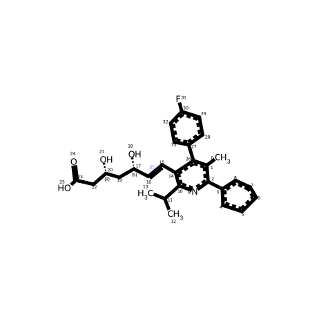 Cc1c(-c2ccccc2)nc(C(C)C)c(/C=C/[C@@H](O)C[C@@H](O)CC(=O)O)c1-c1ccc(F)cc1